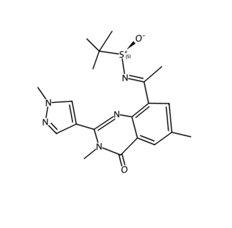 CC(=N[S@+]([O-])C(C)(C)C)c1cc(C)cc2c(=O)n(C)c(-c3cnn(C)c3)nc12